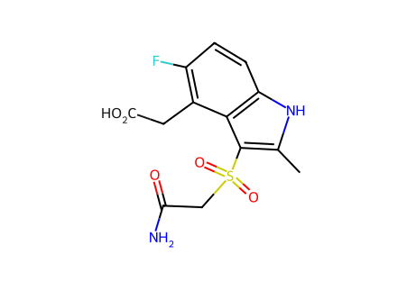 Cc1[nH]c2ccc(F)c(CC(=O)O)c2c1S(=O)(=O)CC(N)=O